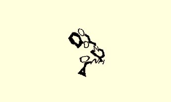 CC1(NC(=O)C2CC2)CCN(CC2COc3ccccc3O2)CC1